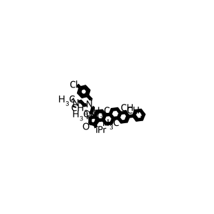 CC(C)C1=C2C3CCC4[C@@]5(C)CC=C(C6=CCCCC6)C(C)(C)C5CC[C@@]4(C)[C@]3(C)CC[C@@]2(C(C)CN(CCN(C)C)Cc2ccc(Cl)cc2)CC1=O